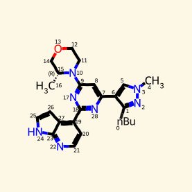 CCCCc1nn(C)cc1-c1cc(N2CCOC[C@H]2C)nc(-c2ccnc3[nH]ccc23)n1